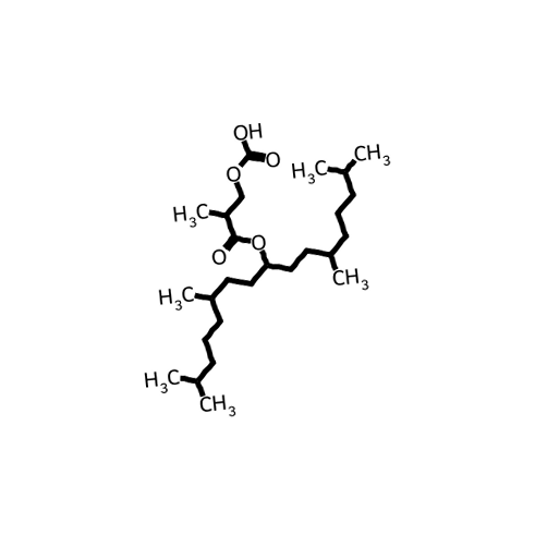 CC(C)CCCC(C)CCC(CCC(C)CCCC(C)C)OC(=O)C(C)COC(=O)O